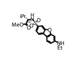 CCNc1ccc2c(c1)oc1cc(S(=O)(=O)N[C@H](C(=O)OC)C(C)C)ccc12